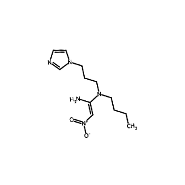 CCCCN(CCCn1ccnc1)C(N)=C[N+](=O)[O-]